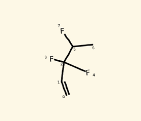 C=CC(F)(F)C(C)F